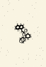 O=C(Cc1cccc2ccccc12)O[C@H]1CCCC[C@@H]1N1CCOCC1